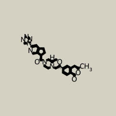 C[C@@H]1Cc2cc([C@H]3CN4CCN(C(=O)C5CCc6cc(-n7cnnn7)ncc65)C[C@H]4CO3)ccc2C(=O)O1